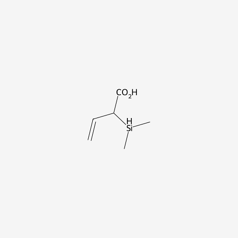 C=CC(C(=O)O)[SiH](C)C